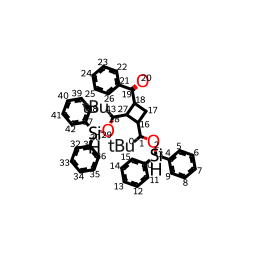 CC(C)(C)C(O[SiH](c1ccccc1)c1ccccc1)C1CC(C(=O)c2ccccc2)C1C(O[SiH](c1ccccc1)c1ccccc1)C(C)(C)C